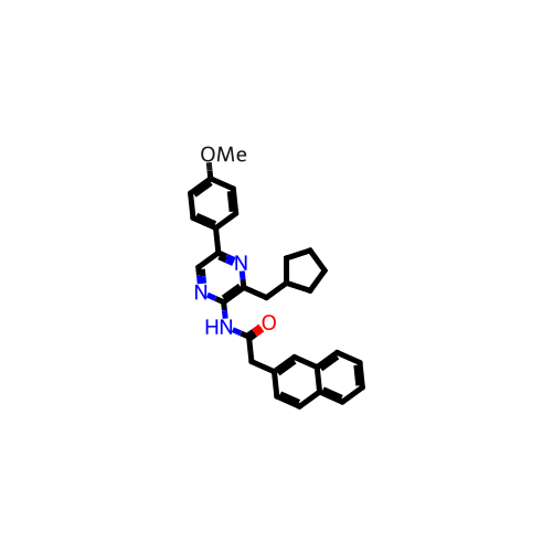 COc1ccc(-c2cnc(NC(=O)Cc3ccc4ccccc4c3)c(CC3CCCC3)n2)cc1